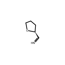 N=C[C@@H]1CCCO1